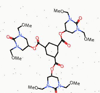 COCN1CC(OC(=O)C2CC(C(=O)OC3CN(COC)C(=O)N(COC)C3)CC(C(=O)OC3CN(COC)C(=O)N(COC)C3)C2)CN(COC)C1=O